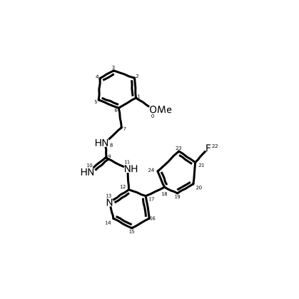 COc1ccccc1CNC(=N)Nc1ncccc1-c1ccc(F)cc1